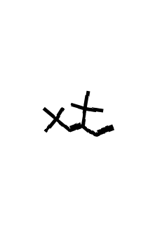 C=C/C(=C/C(C)(C)C)C(C)(C)C